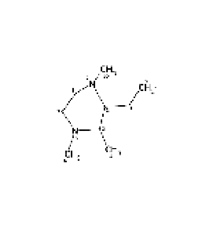 [CH2]CC1C(C)N(C)CCN1C